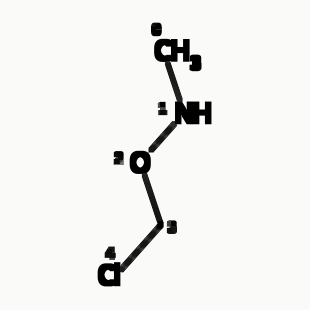 CNOCCl